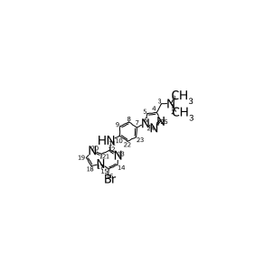 CN(C)Cc1cn(-c2ccc(Nc3ncc(Br)n4ccnc34)cc2)nn1